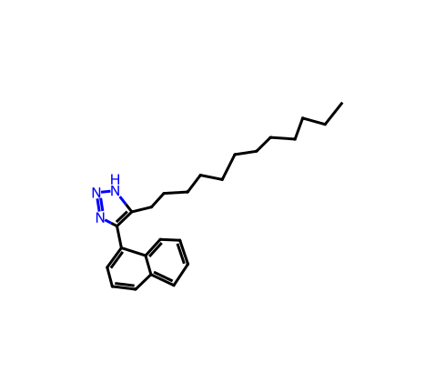 CCCCCCCCCCCCc1[nH]nnc1-c1cccc2ccccc12